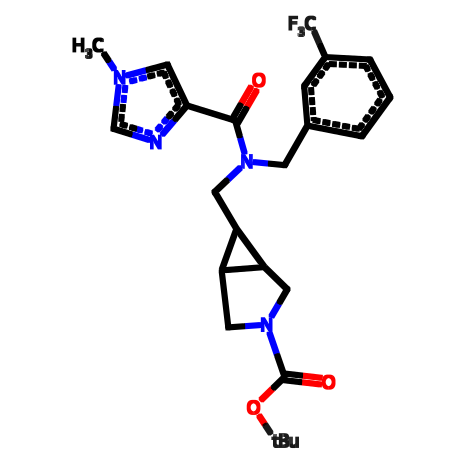 Cn1cnc(C(=O)N(Cc2cccc(C(F)(F)F)c2)CC2C3CN(C(=O)OC(C)(C)C)CC32)c1